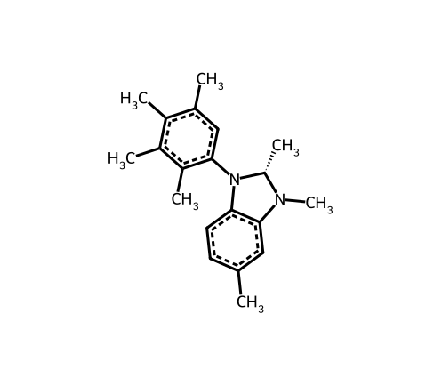 Cc1ccc2c(c1)N(C)[C@@H](C)N2c1cc(C)c(C)c(C)c1C